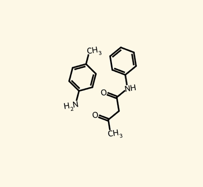 CC(=O)CC(=O)Nc1ccccc1.Cc1ccc(N)cc1